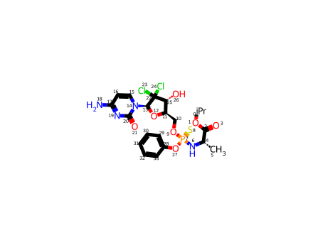 CC(C)OC(=O)[C@H](C)NP(=S)(OC[C@H]1O[C@@H](n2ccc(N)nc2=O)C(Cl)(Cl)[C@@H]1O)Oc1ccccc1